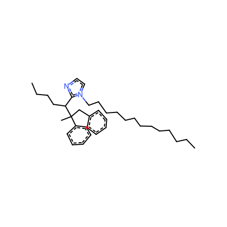 CCCCCCCCCCCCCn1ccnc1C(CCCC)C(C)(Cc1ccccc1)c1ccccc1